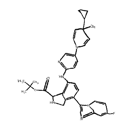 CC(C)(C)OC(=O)C1NCc2c(-c3cnc4cc(F)ccn34)ccc(Nc3ccc(N4C=CC(O)(C5CC5)C=C4)cn3)c21